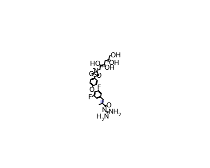 C/C(=C\c1cc(F)c(Oc2ccc(S(=O)(=O)N(C)C[C@H](O)[C@@H](O)C[C@H](O)CO)cc2)c(F)c1)C(=O)N=C(N)N